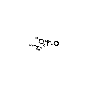 O=C(O)CC(NC(=O)OCc1ccccc1)C(=O)Cn1nnnc1CCCl